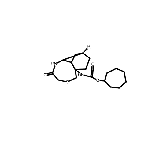 O=C1CSC[C@@]2(NC(=O)OC3CCCCCC3)CC[C@H]3CC2C3N1